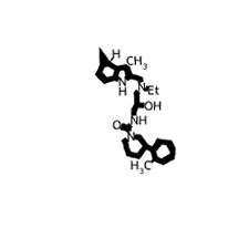 CCN(CC1=C(C)C2C(C=CC3=C[C@H]32)N1)CC(O)CNC(=O)N1CCCC(C2=CC=CC=C[C@H]2C)C1